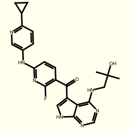 CC(C)(O)CNc1ncnc2[nH]cc(C(=O)c3ccc(Nc4ccc(C5CC5)nc4)nc3F)c12